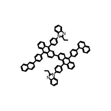 CCc1nc2ccccc2n1-c1ccc(-c2c3ccccc3c(-c3ccc(-c4ccc5ccccc5c4)cc3)c3ccc(-c4ccc5c(-c6ccc(-c7cccc8ccccc78)cc6)c6ccccc6c(-c6ccc(-n7c(CC)nc8ccccc87)cc6)c5c4)cc23)cc1